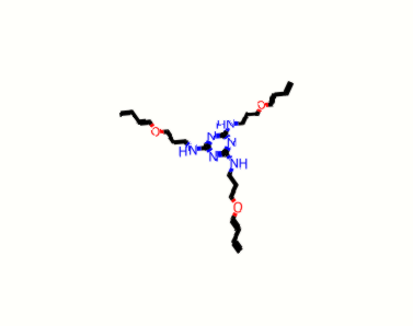 C=CC=COCCCNc1nc(NCCCOC=CC=C)nc(NCCCOC=CC=C)n1